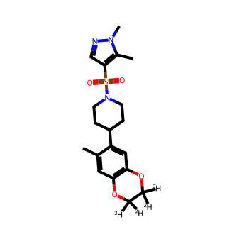 [2H]C1([2H])Oc2cc(C)c(C3CCN(S(=O)(=O)c4cnn(C)c4C)CC3)cc2OC1([2H])[2H]